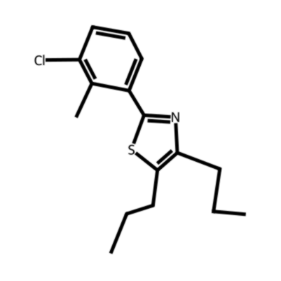 CCCc1nc(-c2cccc(Cl)c2C)sc1CCC